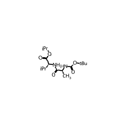 CC(C)OC(=O)[C@@H](NC(=O)[C@H](C)NC(=O)OC(C)(C)C)C(C)C